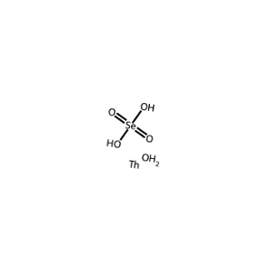 O.O=[Se](=O)(O)O.[Th]